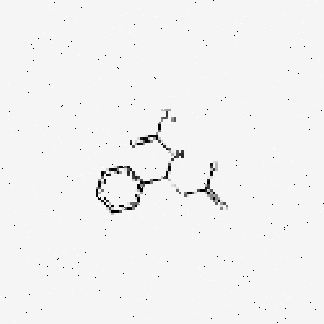 O=C(Cl)C[C@@H](NC(=O)C(F)(F)F)c1ccccc1